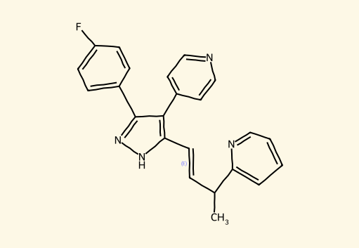 CC(/C=C/c1[nH]nc(-c2ccc(F)cc2)c1-c1ccncc1)c1ccccn1